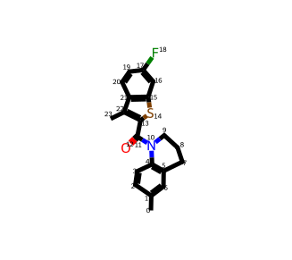 Cc1ccc2c(c1)CCCN2C(=O)c1sc2cc(F)ccc2c1C